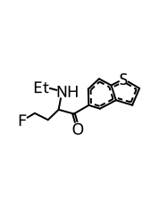 CCNC(CCF)C(=O)c1ccc2sccc2c1